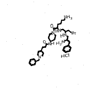 CC(C)CC(CNC(CCCCN)C(=O)N1CCC(NC(=O)/C=C/c2cc[n+](Cc3ccccc3)cc2)CC1)NCC(N)Cc1ccccc1.Cl